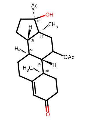 CC(=O)OC1C[C@@]2(C)[C@@H](CC[C@]2(O)C(C)=O)[C@@H]2CCC3=CC(=O)CC[C@]3(C)[C@@H]12